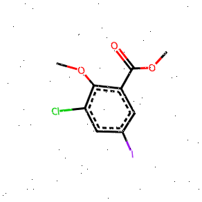 COC(=O)c1cc(I)cc(Cl)c1OC